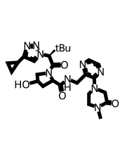 CN1CCN(c2nccnc2CNC(=O)C2CC(O)CN2C(=O)[C@@H](n2cc(C3CC3)nn2)C(C)(C)C)CC1=O